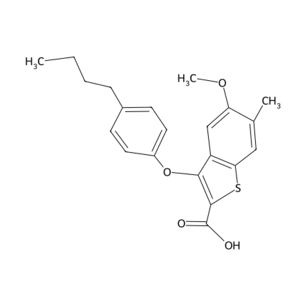 CCCCc1ccc(Oc2c(C(=O)O)sc3cc(C)c(OC)cc23)cc1